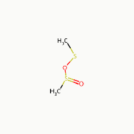 CSOS(C)=O